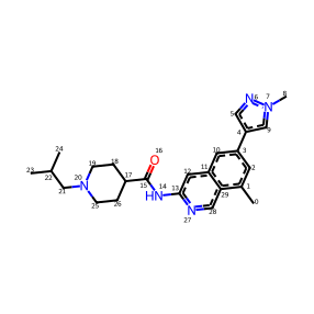 Cc1cc(-c2cnn(C)c2)cc2cc(NC(=O)C3CCN(CC(C)C)CC3)ncc12